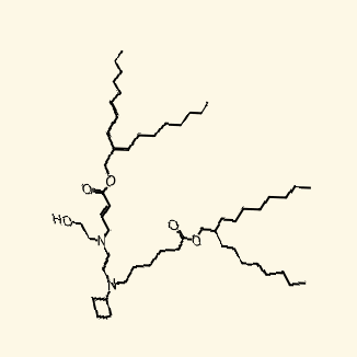 CCCCCCCCC(CCCCCCCC)COC(=O)/C=C/CN(CCO)CCN(CCCCCC(=O)OCC(CCCCCCCC)CCCCCCCC)C1CCC1